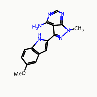 COc1ccc2[nH]c(-c3nn(C)c4ncnc(N)c34)cc2c1